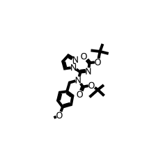 COc1ccc(CN(C(=O)OC(C)(C)C)C(=NC(=O)OC(C)(C)C)n2cccn2)cc1